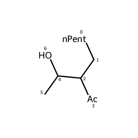 CCCCCCC(C(C)=O)C(C)O